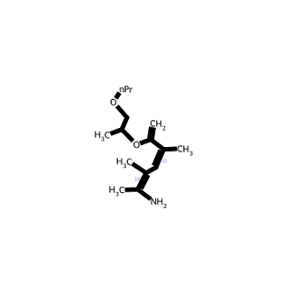 C=C(OC(C)COCCC)/C(C)=C\C(C)=C(\C)N